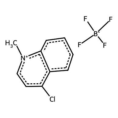 C[n+]1ccc(Cl)c2ccccc21.F[B-](F)(F)F